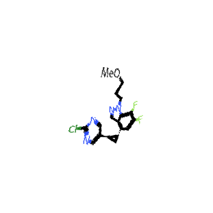 COCCCn1ncc2c([C@@H]3C[C@H]3c3cnc(Cl)nc3)cc(F)c(F)c21